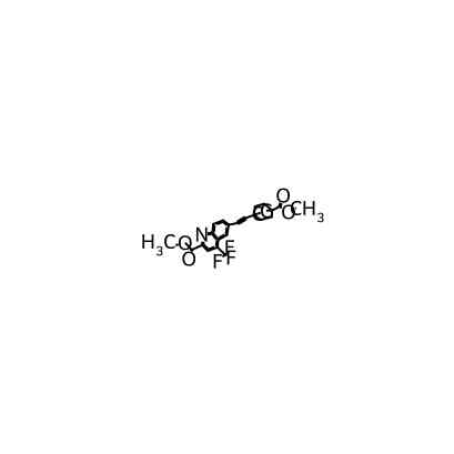 CCOC(=O)c1cc(C(F)(F)F)c2cc(C#CC34CCC(C(=O)OC)(CC3)CC4)ccc2n1